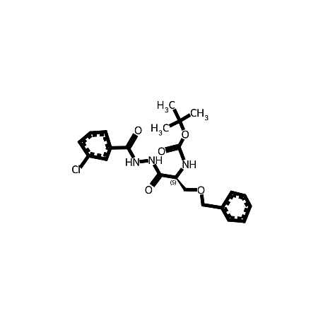 CC(C)(C)OC(=O)N[C@@H](COCc1ccccc1)C(=O)NNC(=O)c1cccc(Cl)c1